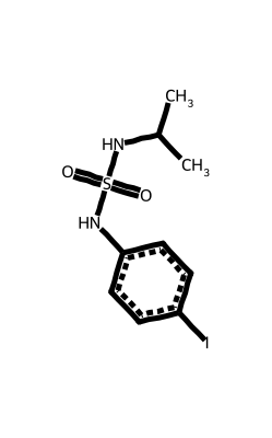 CC(C)NS(=O)(=O)Nc1ccc(I)cc1